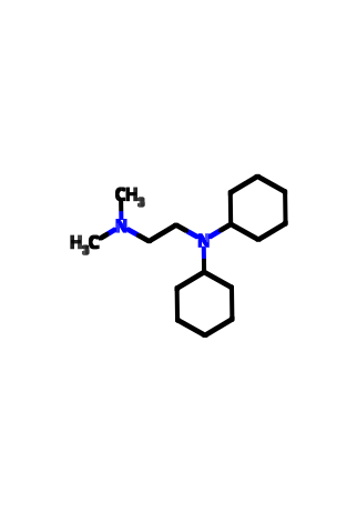 CN(C)CCN(C1CCCCC1)C1CCCCC1